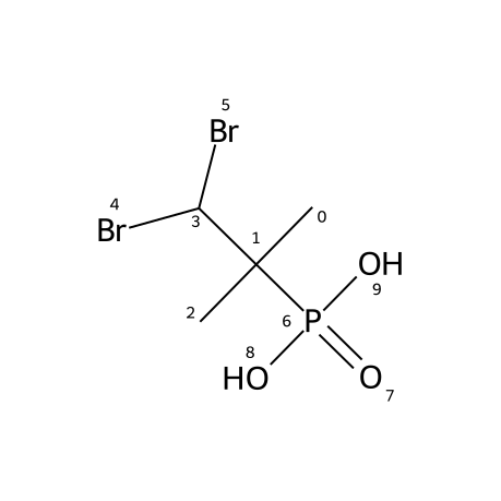 CC(C)(C(Br)Br)P(=O)(O)O